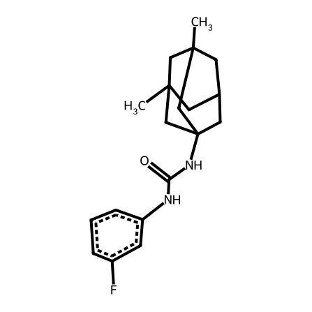 CC12CC3CC(C)(C1)CC(NC(=O)Nc1cccc(F)c1)(C3)C2